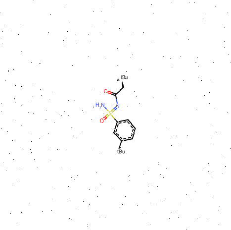 CC[C@H](C)CC(=O)N=S(N)(=O)c1cccc(C(C)(C)C)c1